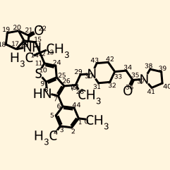 Cc1cc(C)cc(-c2[nH]c3sc(C(C)(C)CC4C5CCC4C(=O)N5)cc3c2[C@H](C)CN2CCC(CC(=O)N3CCCC3)CC2)c1